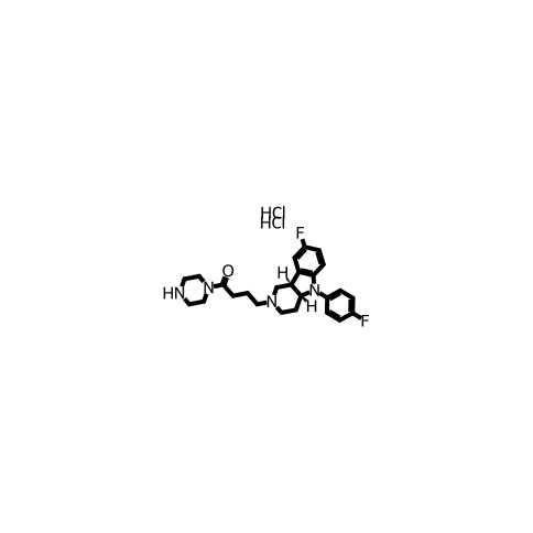 Cl.Cl.O=C(CCCN1CC[C@@H]2[C@@H](C1)c1cc(F)ccc1N2c1ccc(F)cc1)N1CCNCC1